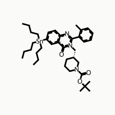 CCC[CH2][Sn]([CH2]CCC)([CH2]CCC)[c]1ccc2nc(-c3ccccc3C)n(C[C@H]3CCCN(C(=O)OC(C)(C)C)C3)c(=O)c2c1